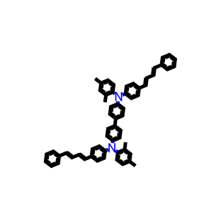 Cc1ccc(N(c2ccc(/C=C/C=C/c3ccccc3)cc2)c2ccc(-c3ccc(N(c4ccc(/C=C/C=C/c5ccccc5)cc4)c4ccc(C)cc4C)cc3)cc2)c(C)c1